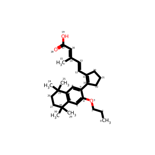 CCCOc1cc2c(cc1C1=C(/C=C/C(C)=C/C(=O)O)CCC1)C(C)(C)CCC2(C)C